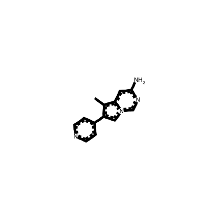 Cc1c(-c2ccncc2)cn2cnc(N)cc12